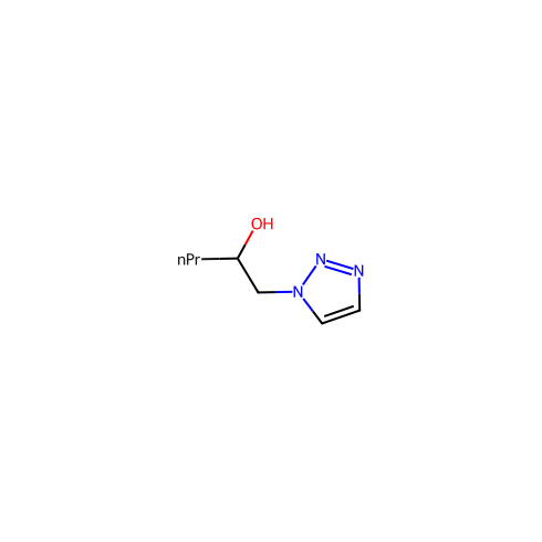 CCCC(O)Cn1ccnn1